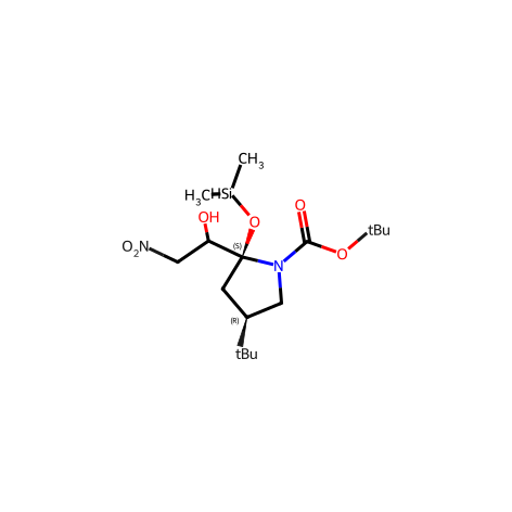 C[SiH](C)O[C@]1(C(O)C[N+](=O)[O-])C[C@H](C(C)(C)C)CN1C(=O)OC(C)(C)C